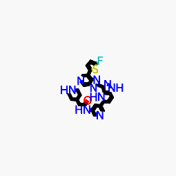 O=C(CC1CCNCC1)Nc1cncc(-c2ccc3[nH]nc(-c4nc5c(-c6ccc(F)s6)cncc5[nH]4)c3n2)c1